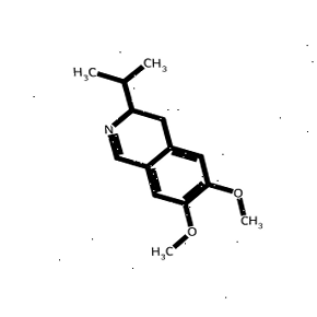 COc1cc2c(cc1OC)CC(C(C)C)N=C2